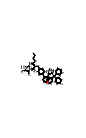 CCCCc1nc2n(c(=O)c1Cc1ccc(-c3ccccc3-c3nnnn3C(c3ccccc3)(c3ccccc3)c3ccccc3)cc1)C(C)C(=O)N2